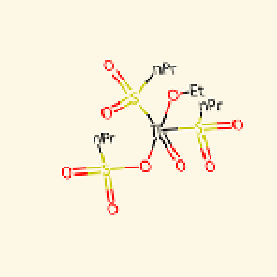 CCCS(=O)(=O)[O][Ti](=[O])([O]CC)([S](=O)(=O)CCC)[S](=O)(=O)CCC